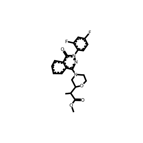 COC(=O)C(C)C1CN(c2nn(-c3ccc(F)cc3F)c(=O)c3ccccc23)CCO1